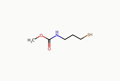 COC(=O)NCCCS